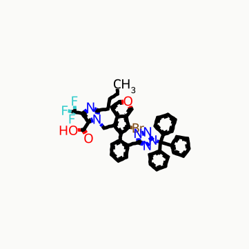 CCCCc1nc(C(F)(F)F)c(C(=O)O)n1Cc1c2ccocc-2c(Br)c1-c1ccccc1-c1nnn(C(c2ccccc2)(c2ccccc2)c2ccccc2)n1